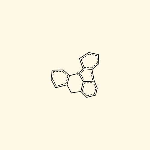 c1ccc2c(c1)Cc1cccc3c4ccccc4n-2c13